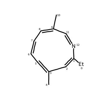 CCc1cc(C)ccccc(C)cn1